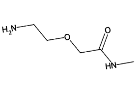 CNC(=O)COCCN